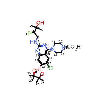 CC(C)(O)C(F)CNc1nc(N2CCN(C(=O)O)CC2)c2cc(Cl)c(B3OC(C)(C)C(C)(C)O3)cc2n1